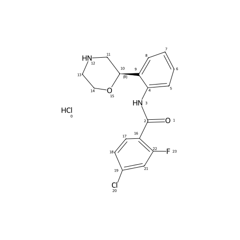 Cl.O=C(Nc1ccccc1[C@@H]1CNCCO1)c1ccc(Cl)cc1F